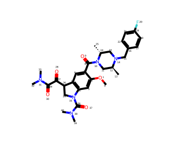 COc1cc2c(cc1C(=O)N1C[C@H](C)N(Cc3ccc(F)cc3)C[C@H]1C)C(C(=O)C(=O)N(C)C)CN2C(=O)N(C)C